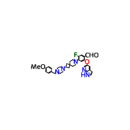 COc1ccc(CN2CCN(C3CC4(CCN(c5cc(Oc6cnc7[nH]ccc7c6)c(C=O)cc5F)CC4)C3)CC2)cc1